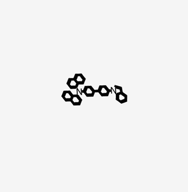 c1ccc2c(N(c3ccc(-c4ccc(-n5ccc6ccccc65)cc4)cc3)c3cccc4ccccc34)cccc2c1